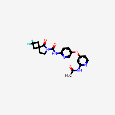 CC(=O)Nc1cc(Oc2ccc(NC(=O)N3CCC4(CC(F)(F)C4)C3=O)nc2)ccn1